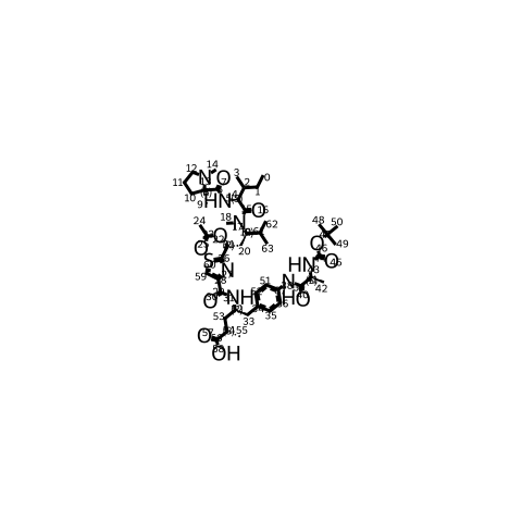 CCC(C)[C@H](NC(=O)[C@@]1(C)CCCN1C)C(=O)N(C)[C@H](C[C@@H](OC(C)=O)c1nc(C(=O)N[C@@H](Cc2ccc(NC(=O)[C@H](C)NC(=O)OC(C)(C)C)cc2)C[C@H](C)C(=O)O)cs1)C(C)C